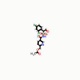 CC(=O)OCc1ccc(C(=O)NS(=O)(=O)C(C=O)c2ccc(F)cc2F)cn1